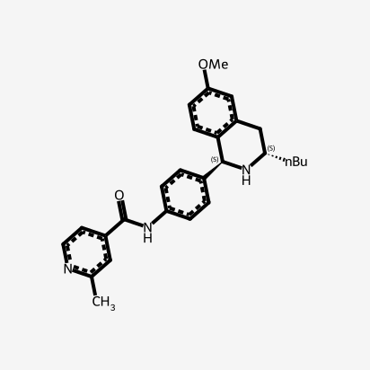 CCCC[C@H]1Cc2cc(OC)ccc2[C@H](c2ccc(NC(=O)c3ccnc(C)c3)cc2)N1